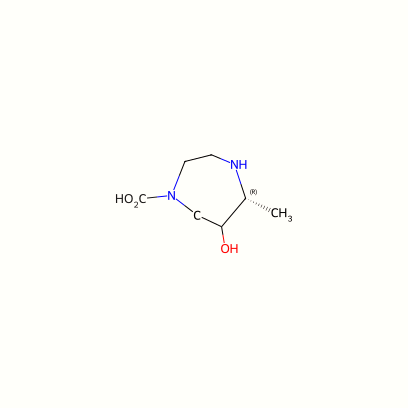 C[C@H]1NCCN(C(=O)O)CC1O